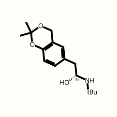 CC(C)(C)N[C@H](O)Cc1ccc2c(c1)COC(C)(C)O2